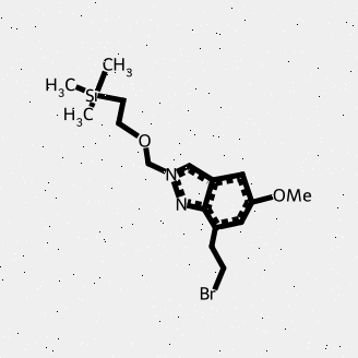 COc1cc(CCBr)c2nn(COCC[Si](C)(C)C)cc2c1